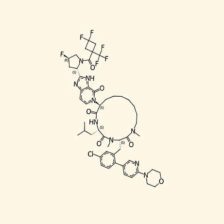 CC(C)C[C@@H]1NC(=O)[C@@H](n2ccc3nc([C@@H]4C[C@@H](F)CN4C(=O)C4(C(F)(F)F)CC(F)(F)C4)[nH]c3c2=O)CCCCCCCN(C)C(=O)[C@H](Cc2cc(Cl)ccc2-c2ccc(N3CCOCC3)nc2)N(C)C1=O